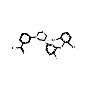 Cc1cccc(C)c1Oc1cc([C@H]2COCN(c3cccc(C(N)=O)c3)C2)ccc1Cl